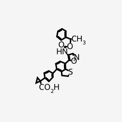 CC(OC(=O)Nc1cnoc1-c1ccc(-c2ccc(C3(C(=O)O)CC3)cc2)c2c1SCC2)c1ccccc1